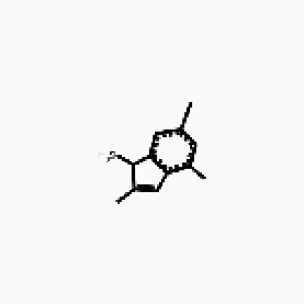 CC1=Cc2c(C)cc(C)cc2C1[SiH3]